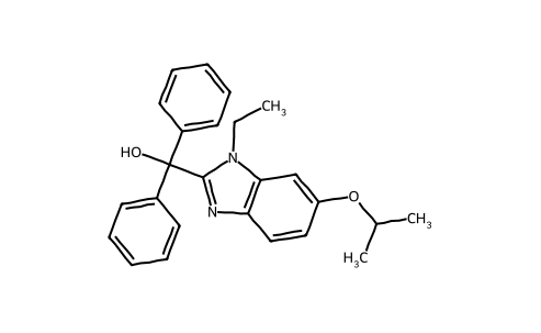 CCn1c(C(O)(c2ccccc2)c2ccccc2)nc2ccc(OC(C)C)cc21